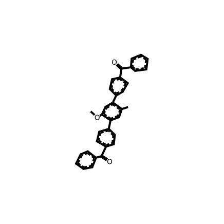 COc1cc(-c2ccc(C(=O)c3ccccc3)cc2)c(C)cc1-c1ccc(C(=O)c2ccccc2)cc1